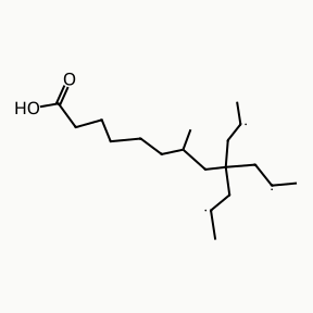 C[CH]CC(C[CH]C)(C[CH]C)CC(C)CCCCCC(=O)O